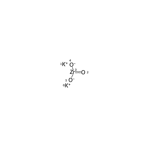 [K+].[K+].[O]=[Zr]([O-])[O-]